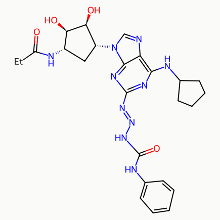 CCC(=O)N[C@H]1C[C@@H](n2cnc3c(NC4CCCC4)nc(/N=N/NC(=O)Nc4ccccc4)nc32)[C@H](O)[C@@H]1O